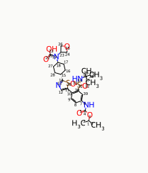 CC(C)OC(=O)Nc1ccc(-c2cnc([C@H]3CC[C@H](N(C(=O)O)C4COC4)CC3)s2)c(S(=O)(=O)NC(C)(C)C)c1